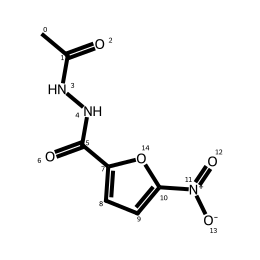 CC(=O)NNC(=O)c1ccc([N+](=O)[O-])o1